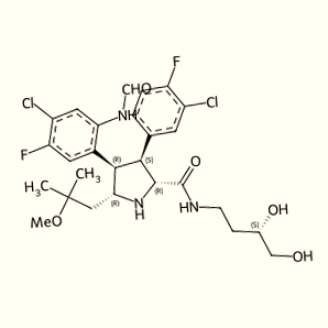 COC(C)(C)C[C@H]1N[C@@H](C(=O)NCC[C@H](O)CO)[C@H](c2ccc(F)c(Cl)c2)[C@@H]1c1cc(F)c(Cl)cc1NC=O